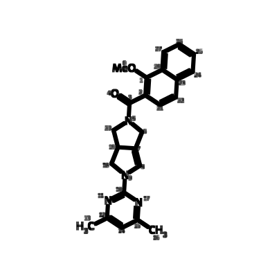 COc1c(C(=O)N2CC3=CN(c4nc(C)cc(C)n4)CC3C2)ccc2ccccc12